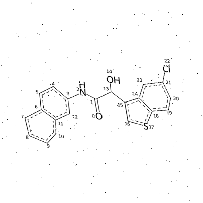 O=C(Nc1ccc2ccccc2c1)C(O)c1csc2ccc(Cl)cc12